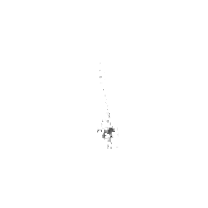 CCCCCCCCCCCCCCCCCCOC[C@@H](COP(=O)(O)C(O)(CCCN)P(=O)(O)O)OC